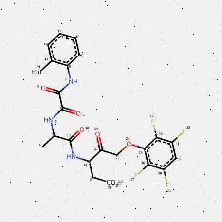 CC(NC(=O)C(=O)Nc1ccccc1C(C)(C)C)C(=O)NC(CC(=O)O)C(=O)COc1c(F)c(F)cc(F)c1F